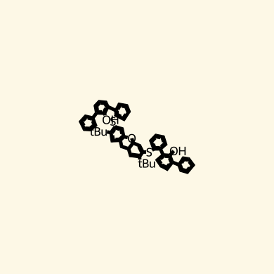 CC(C)(C)C1=CC2Cc3cc(C(C)(C)C)c(Sc4ccccc4-c4cccc(-c5ccccc5)c4O)cc3OC2C=C1Sc1ccccc1-c1cccc(-c2ccccc2)c1O